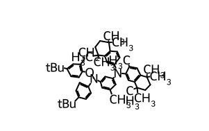 C=Cc1cc(C(C)(C)C)ccc1ON(c1ccc(C(C)(C)C)cc1)c1cc(C)cc(N(c2ccc3c(c2)C(C)(C)CCC3(C)C)c2cc3c(cc2C)C(C)(C)CCC3(C)C)c1